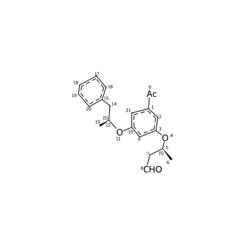 CC(=O)c1cc(O[C@@H](C)CC=O)cc(O[C@@H](C)Cc2ccccc2)c1